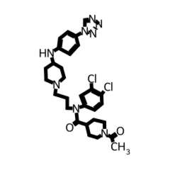 CC(=O)N1CCC(C(=O)N(CCCN2CCC(Nc3ccc(-n4cnnn4)cc3)CC2)c2ccc(Cl)c(Cl)c2)CC1